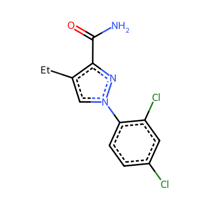 CCc1cn(-c2ccc(Cl)cc2Cl)nc1C(N)=O